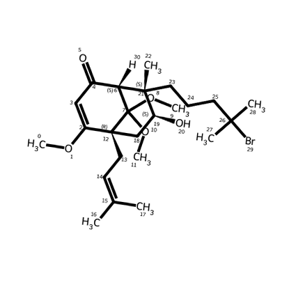 COC1=CC(=O)[C@H]2C(OC)(OC)[C@]1(CC=C(C)C)C[C@H](O)[C@@]2(C)CCCC(C)(C)Br